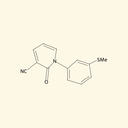 CSc1cccc(-n2cccc(C#N)c2=O)c1